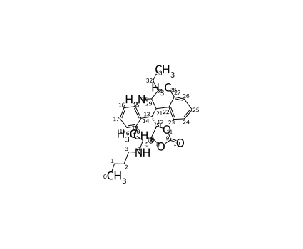 CCCCNC(C)[C@H]1OC(=O)O[C@H]1C(c1ccccc1C)C(c1ccccc1C)C(N)CCC